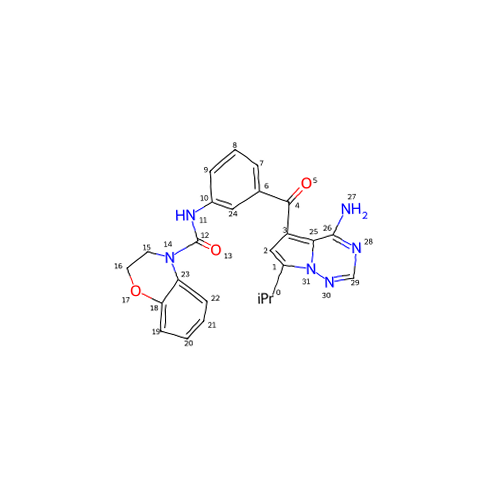 CC(C)c1cc(C(=O)c2cccc(NC(=O)N3CCOc4ccccc43)c2)c2c(N)ncnn12